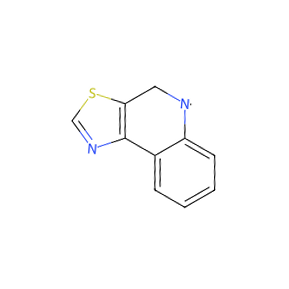 c1ccc2c(c1)[N]Cc1scnc1-2